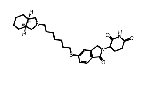 O=C1CCC(N2Cc3cc(SCCCCCCCN4C[C@H]5CCCC[C@H]5C4)ccc3C2=O)C(=O)N1